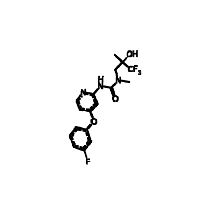 CN(CC(C)(O)C(F)(F)F)C(=O)Nc1cc(Oc2cccc(F)c2)ccn1